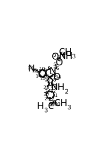 CNC(=O)OCCN1Cc2cc(C#N)ccc2C(CCN)(CCC[C@H]2CC[C@@H](C(C)C)CC2)C1=O